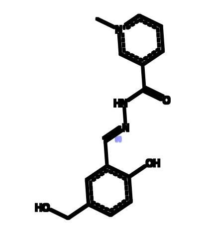 C[n+]1cccc(C(=O)N/N=C/c2cc(CO)ccc2O)c1